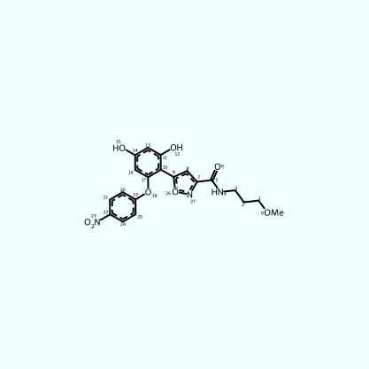 COCCCNC(=O)c1cc(-c2c(O)cc(O)cc2Oc2ccc([N+](=O)[O-])cc2)on1